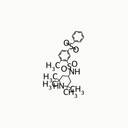 Cc1ccc(S(=O)(=O)c2ccccc2)cc1S(=O)(=O)NC1CC(C)(C)NC(C)(C)C1